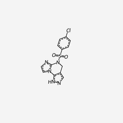 O=S(=O)(c1ccc(Cl)cc1)N1Cc2cn[nH]c2-n2ccnc21